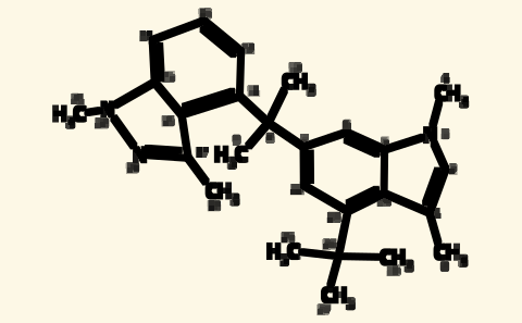 Cc1cn(C)c2cc(C(C)(C)c3cccc4c3c(C)nn4C)cc(C(C)(C)C)c12